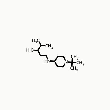 CC(C)C(C)CCNC1CCN(C(C)(C)C)CC1